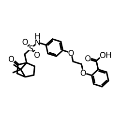 CC1(C)C2CCC1(CS(=O)(=O)Nc1ccc(OCCOc3ccccc3C(=O)O)cc1)C(=O)C2